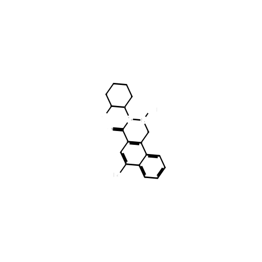 CN1Cc2c(cc(Br)c3ccccc23)C(=O)N1C1CCCCC1O